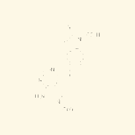 CON=Cc1c(N)ncnc1Oc1ccc2c(c1)cc(C)n2C(=O)O